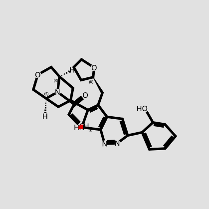 C=CC(=O)N1[C@@H]2COC[C@H]1CC(c1[nH]c3nnc(-c4ccccc4O)cc3c1C[C@H]1CCCO1)C2